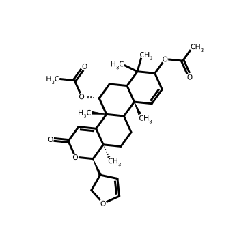 CC(=O)OC1C=C[C@@]2(C)C(C[C@@H](OC(C)=O)[C@@]3(C)C4=CC(=O)O[C@H](C5C=COC5)[C@]4(C)CCC23)C1(C)C